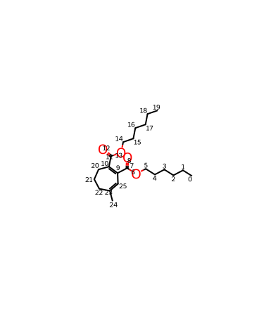 CCCCCCOC(=O)C1=C(C(=O)OCCCCCC)CCCC(C)=C1